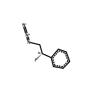 [N-]=[N+]=NC[C@@H](I)c1ccccc1